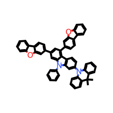 CC1(C)c2ccccc2N(c2ccc3c4c(-c5ccc6c(c5)oc5ccccc56)cc(-c5ccc6c(c5)oc5ccccc56)cc4n(-c4ccccc4)c3c2)c2ccccc21